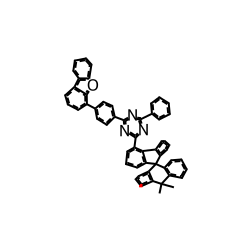 CC1(C)c2ccccc2C2(c3ccccc3-c3c(-c4nc(-c5ccccc5)nc(-c5ccc(-c6cccc7c6oc6ccccc67)cc5)n4)cccc32)c2ccccc21